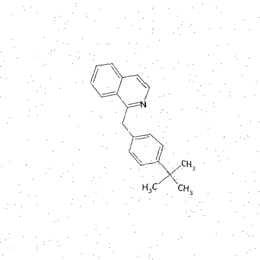 CC(C)(C)c1ccc(Cc2nccc3ccccc23)cc1